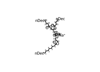 CCCCCCCCCCCCCCCCCC1OCC(COP(=O)([O-])OC[C@@H](COC(=O)CCCCCCCCCCCCC)OC(=O)CCCCCCCCCCCCC)O1.[Na+]